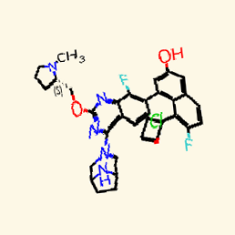 CN1CCC[C@H]1COc1nc(N2CC3CCC(C2)N3)c2cc(Cl)c(-c3cc(O)cc4ccc(F)c(C56CC(C5)C6)c34)c(F)c2n1